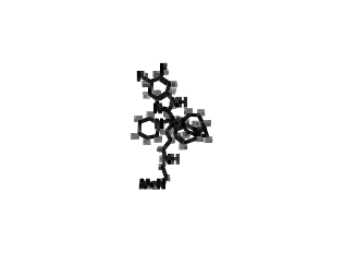 CNCCNCCCN(c1nc2cc(F)c(F)cc2[nH]1)[C@@H]1CC[C@]2(C3C=C(CN4CCCCC4)C=CC3)CC2C1